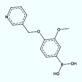 COc1cc(B(O)O)ccc1OCc1cccnc1